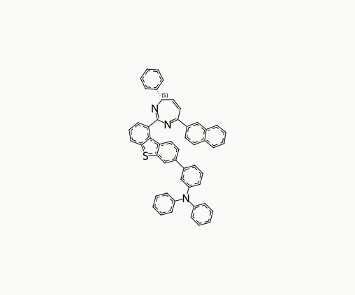 C1=C[C@@H](c2ccccc2)N=C(c2cccc3sc4cc(-c5cccc(N(c6ccccc6)c6ccccc6)c5)ccc4c23)N=C1c1ccc2ccccc2c1